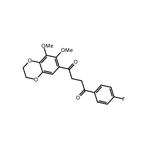 COc1c(C(=O)CCC(=O)c2ccc(F)cc2)cc2c(c1OC)OCCO2